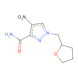 NC(=O)c1nn(CC2CCCO2)cc1[N+](=O)[O-]